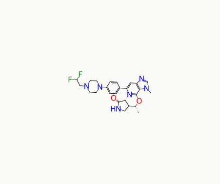 C[C@@H](Oc1nc(-c2ccc(N3CCN(CC(F)F)CC3)cc2)cc2ncn(C)c12)C1CNC(=O)C1